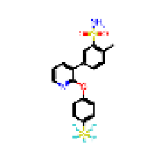 Cc1ccc(-c2cccnc2Oc2ccc(S(F)(F)(F)(F)F)cc2)cc1S(N)(=O)=O